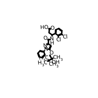 CC(C)(C)C(C)(O)COc1cc(C(=O)NC(CC(=O)O)c2cccc(Cl)c2Cl)nn1-c1ccccc1